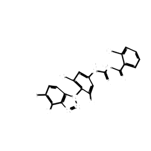 O=C(NC(=S)Nc1cc(Cl)c(-n2nnc3c(Cl)c(Cl)ccc32)c(Cl)c1)c1ccccc1Cl